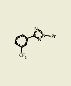 CC(C)n1cnc(-c2cccc(C(F)(F)F)c2)n1